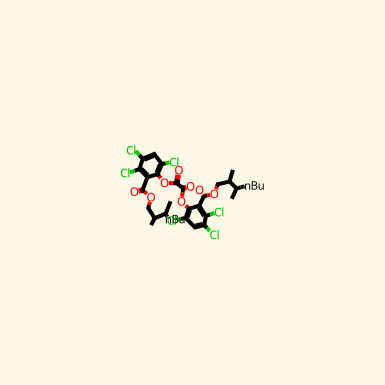 CCCCC(C)C(C)COC(=O)c1c(Cl)c(Cl)cc(Cl)c1OC(=O)C(=O)Oc1c(Cl)cc(Cl)c(Cl)c1C(=O)OCC(C)C(C)CCCC